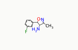 CC1=NOC(c2cccc(F)c2)C1N